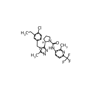 CCc1cc(Cn2c(C)nnc2[C@H]2CCCN2C(=O)Nc2ccc(C(F)(F)F)nc2C)ccc1Cl